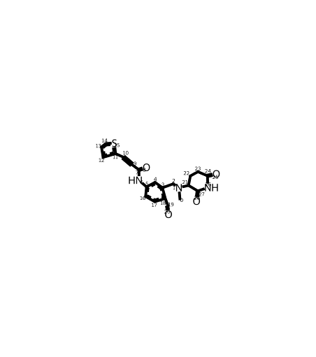 CN(Cc1cc(NC(=O)C#Cc2cccs2)ccc1C=O)C1CCC(=O)NC1=O